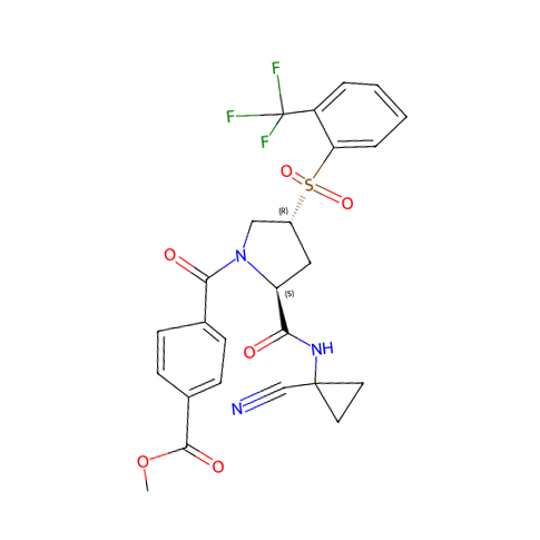 COC(=O)c1ccc(C(=O)N2C[C@H](S(=O)(=O)c3ccccc3C(F)(F)F)C[C@H]2C(=O)NC2(C#N)CC2)cc1